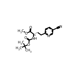 COC(=O)[C@H](CCc1ccc(C#N)cn1)NC(=O)OC(C)(C)C